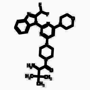 CC(C)(C)C(N)C(=O)N1CCN(c2cc(N3CCOCC3)nc(-n3c(C(F)F)nc4ccccc43)n2)CC1